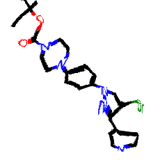 CC(C)(C)OC(=O)N1CCN(c2ccc(-n3cc(Br)c(-c4ccncc4)n3)cc2)CC1